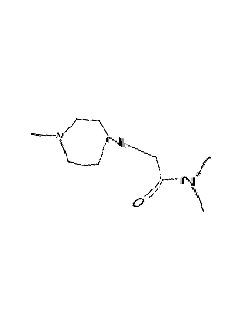 CN1CCN(CC(=O)N(C)C)CC1